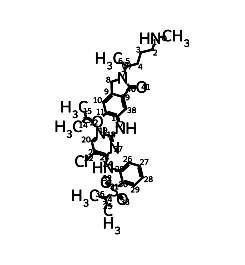 CNCCC[C@@H](C)N1Cc2cc(OC(C)C)c(Nc3ncc(Cl)c(Nc4ccccc4S(=O)(=O)C(C)C)n3)cc2C1=O